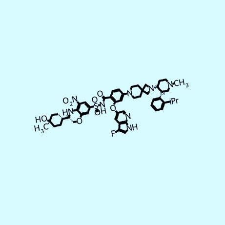 CC(C)c1ccccc1[C@H]1CN(C)CC[C@H]1N1CC2(CCN(c3ccc(C(=O)NS(=O)(=O)c4cc5c(c([N+](=O)[O-])c4)N[C@@H]([C@H]4CC[C@](C)(O)CC4)CO5)c(Oc4cnc5[nH]cc(F)c5c4)c3)CC2)C1